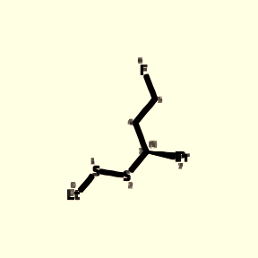 CCSS[C@@H](CCF)C(C)C